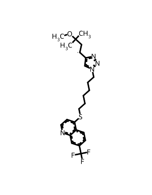 COC(C)(C)C[CH]c1cn(CCCCCCSc2ccnc3cc(C(F)(F)F)ccc23)nn1